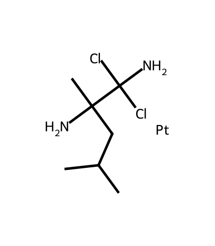 CC(C)CC(C)(N)C(N)(Cl)Cl.[Pt]